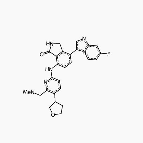 CNCc1nc(Nc2ccc(-c3cnc4cc(F)ccn34)c3c2C(=O)NC3)ccc1[C@@H]1CCOC1